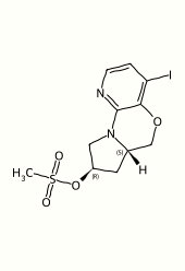 CS(=O)(=O)O[C@@H]1C[C@H]2COc3c(I)ccnc3N2C1